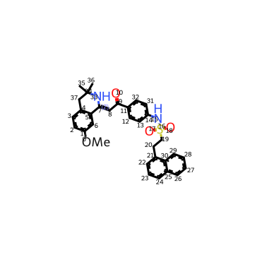 COc1ccc2c(c1)/C(=C/C(=O)c1ccc(NS(=O)(=O)CCc3cccc4ccccc34)cc1)NC(C)(C)C2